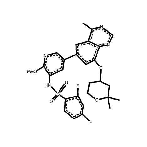 COc1ncc(-c2cc(OC3CCOC(C)(C)C3)c3ncnc(C)c3c2)cc1NS(=O)(=O)c1ccc(F)cc1F